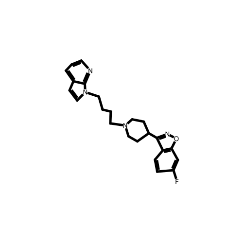 Fc1ccc2c(C3CCN(CCCCn4ccc5cccnc54)CC3)noc2c1